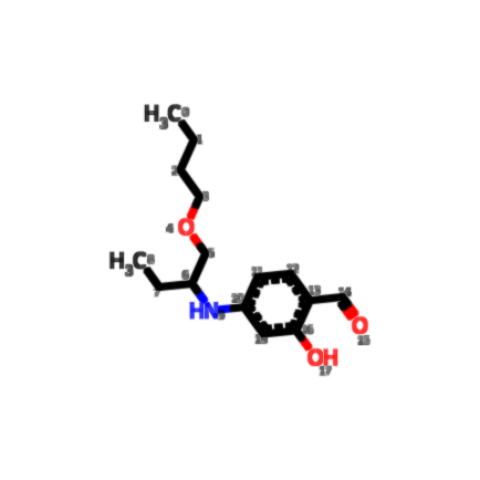 CCCCOCC(CC)Nc1ccc(C=O)c(O)c1